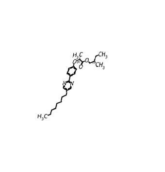 CCCCCCCCc1cnc(-c2ccc(O[C@H](C)C(=O)OC[C@@H](C)CC)cc2)nc1